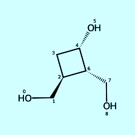 OC[C@H]1C[C@H](O)[C@@H]1CO